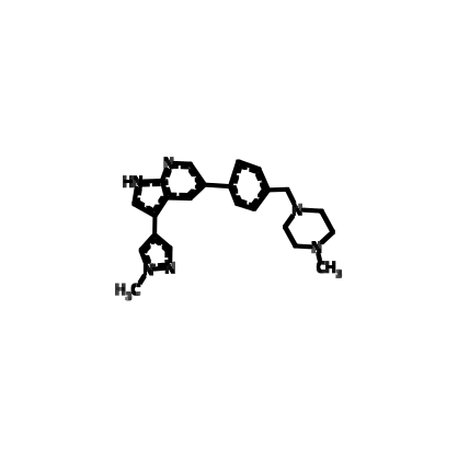 CN1CCN(Cc2ccc(-c3cnc4[nH]cc(-c5cnn(C)c5)c4c3)cc2)CC1